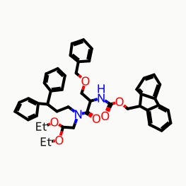 CCOC(CN(CCC(c1ccccc1)c1ccccc1)C(=O)C(COCc1ccccc1)NC(=O)OCC1c2ccccc2-c2ccccc21)OCC